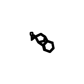 C1=C2C(CCC1)C1CC2C2(CO2)C1